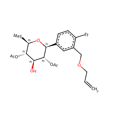 C=CCOCc1cc([C@@H]2O[C@H](SC)[C@@H](OC(C)=O)[C@H](O)[C@H]2OC(C)=O)ccc1CC